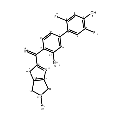 CCc1cc(O)c(F)cc1-c1ccc(C(=N)c2nc3c([nH]2)CN(C(C)=O)C3)c(N)c1